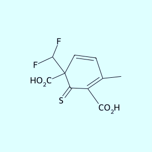 CC1=C(C(=O)O)C(=S)C(C(=O)O)(C(F)F)C=C1